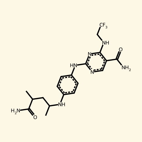 CC(CC(C)C(N)=O)Nc1ccc(Nc2ncc(C(N)=O)c(NCC(F)(F)F)n2)cc1